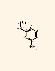 CC(C)(C)Nc1nccc(N)n1